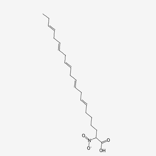 CCC=CCC=CCC=CCC=CCC=CCCCCC(C(=O)O)[N+](=O)[O-]